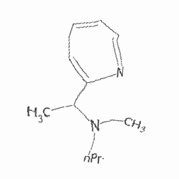 CC[CH]N(C)C(C)c1ccccn1